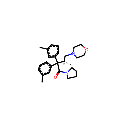 Cc1cccc(C(C(=O)N2CCCC2)(c2cccc(C)c2)[C@@H](C)CN2CCOCC2)c1